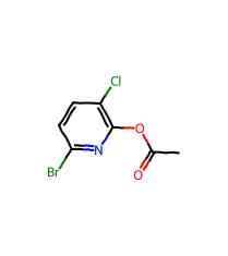 CC(=O)Oc1nc(Br)ccc1Cl